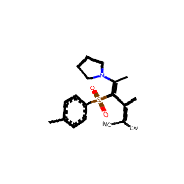 CC(=C(C#N)C#N)/C(=C(\C)N1CCCC1)S(=O)(=O)c1ccc(C)cc1